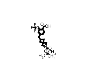 CC(C)(C)OC(=O)N1CC2(CC(Cc3ccc(C(=O)O)c(OC(F)(F)F)c3)C2)C1